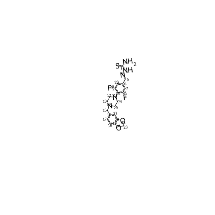 NC(=S)N/N=C/c1cc(F)c(N2CCN(Cc3ccc4c(c3)OCO4)CC2)c(F)c1